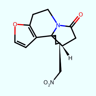 O=C1C[C@H]2[C@H](C[N+](=O)[O-])CC[C@]23c2ccoc2CCN13